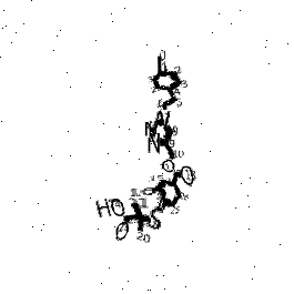 Cc1ccc(CCn2cc(COC(=O)c3ccc(SC(C)(C)C(=O)O)cc3)nn2)cc1